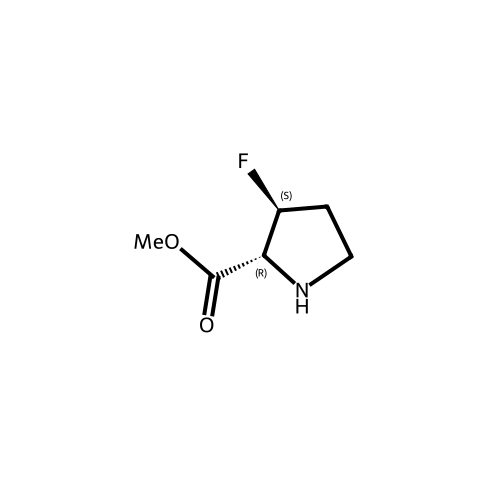 COC(=O)[C@H]1NCC[C@@H]1F